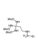 CC[SiH2]NCCC(NOC)(NOC)NOC